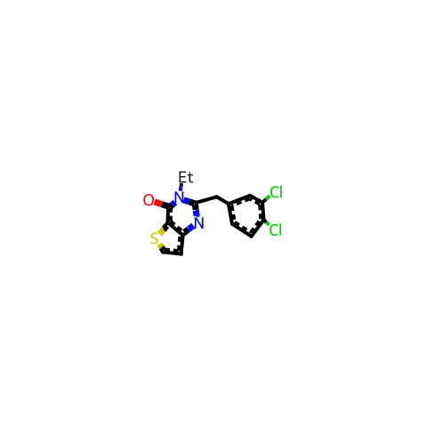 CCn1c(Cc2ccc(Cl)c(Cl)c2)nc2ccsc2c1=O